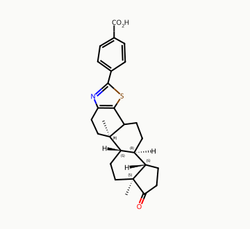 C[C@]12CCc3nc(-c4ccc(C(=O)O)cc4)sc3C1CC[C@@H]1[C@@H]2CC[C@]2(C)C(=O)CC[C@@H]12